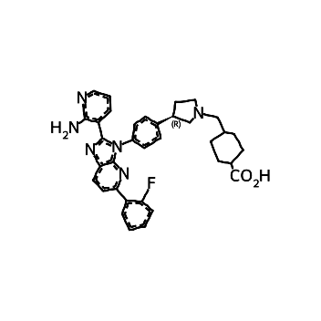 Nc1ncccc1-c1nc2ccc(-c3ccccc3F)nc2n1-c1ccc([C@H]2CCN(CC3CCC(C(=O)O)CC3)C2)cc1